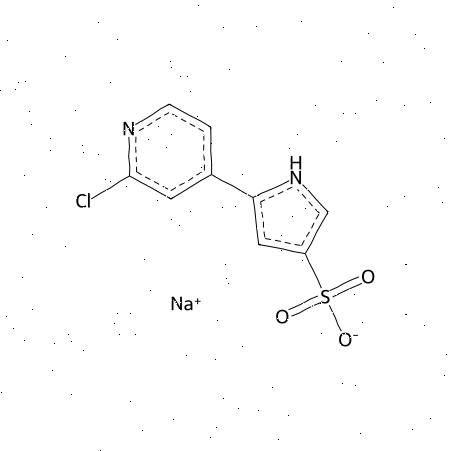 O=S(=O)([O-])c1c[nH]c(-c2ccnc(Cl)c2)c1.[Na+]